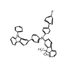 CC1(C)c2ccccc2-c2ccc(N(c3ccc(-c4ccc(F)cc4)cc3)c3ccc(-c4ccc5c6ccccc6n(-c6ccccc6)c5c4)cc3)cc21